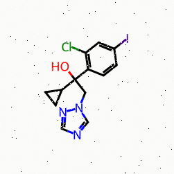 OC(Cn1cncn1)(c1ccc(I)cc1Cl)C1CC1